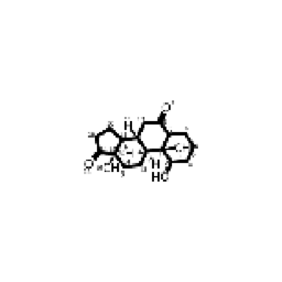 C[C@]12C(O)CCCC1C(=O)C[C@@H]1[C@@H]2CC[C@]2(C)C(=O)CC[C@@H]12